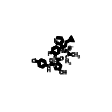 CC(C)[S@+]([O-])NC(CCC1CC1)(c1cccnc1)c1ccc(F)c(NC(=O)[C@H]2C[C@@H](O)CN2C(=O)Nc2ccc(Cl)cc2)c1